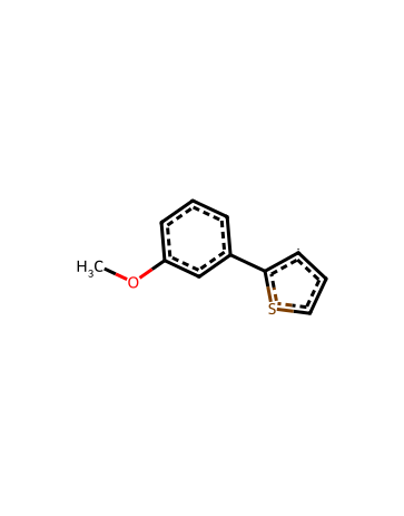 COc1cccc(-c2[c]ccs2)c1